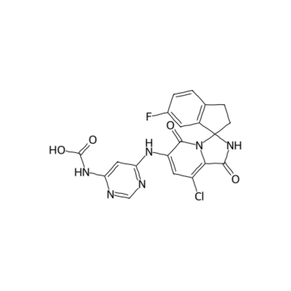 O=C(O)Nc1cc(Nc2cc(Cl)c3n(c2=O)C2(CCc4ccc(F)cc42)NC3=O)ncn1